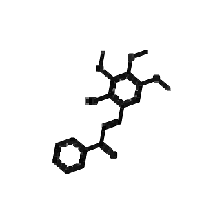 COc1cc(C=CC(=O)c2ccccc2)c(O)c(OC)c1OC